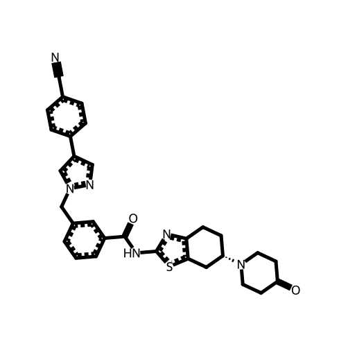 N#Cc1ccc(-c2cnn(Cc3cccc(C(=O)Nc4nc5c(s4)C[C@@H](N4CCC(=O)CC4)CC5)c3)c2)cc1